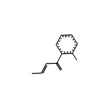 O=C(C=CBr)c1ccccc1O